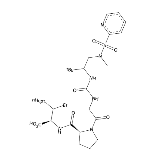 CCCCCCCC(CC)[C@@H](NC(=O)[C@@H]1CCCN1C(=O)CNC(=O)NC(CN(C)S(=O)(=O)c1ccccn1)C(C)(C)C)C(=O)O